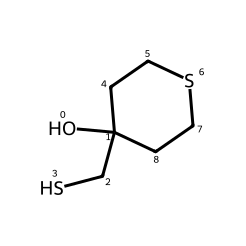 OC1(CS)CCSCC1